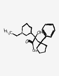 CCN1CCCC(C(O)(C(=O)O)C2(c3ccccc3)CCCC2)C1